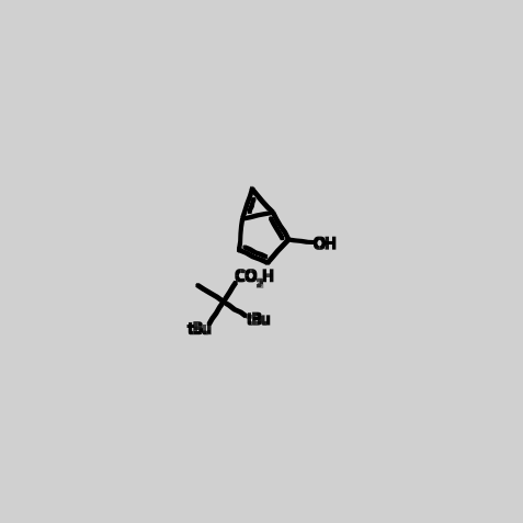 CC(C)(C)C(C)(C(=O)O)C(C)(C)C.Oc1ccc2cc1-2